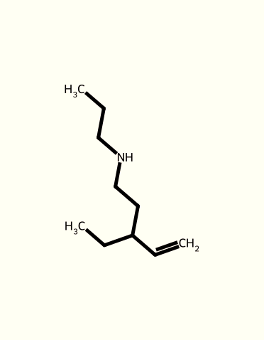 C=CC(CC)CCNCCC